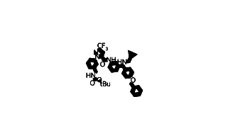 CC(C)(C)OC(=O)NCc1cccc(-n2nc(C(F)(F)F)cc2C(=O)Nc2cccc(C(NCC3CC3)c3ccc(OCc4ccccc4)cc3)c2)c1